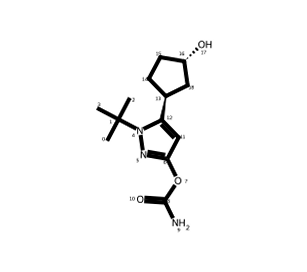 CC(C)(C)n1nc(OC(N)=O)cc1[C@H]1CC[C@H](O)C1